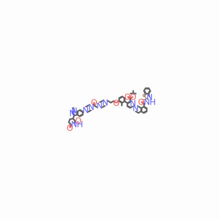 Cc1c(OCCCN2CCN(CC(=O)N3CCN(c4ccc5c(C6CCC(=O)NC6=O)nn(C)c5c4)CC3)CC2)cccc1-c1ccc(N2CCc3cccc(C(=O)Nc4nc5ccccc5s4)c3C2)nc1C(=O)OC(C)(C)C